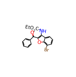 CCOC(=O)Nc1c(C(=O)c2ccccc2)oc2c(Br)cccc12